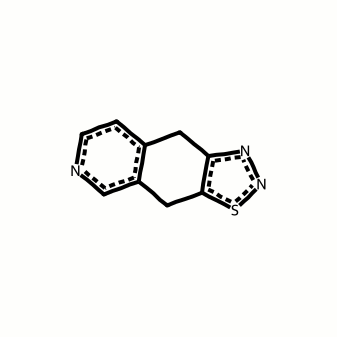 c1cc2c(cn1)Cc1snnc1C2